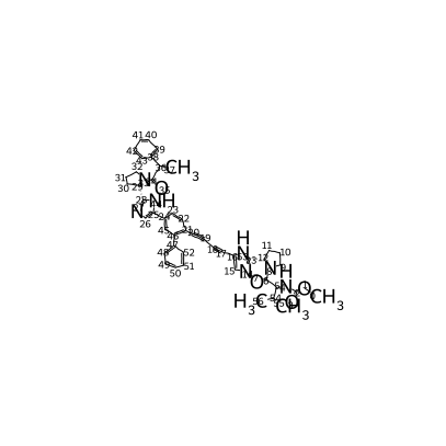 COC(=O)N[C@H](C(=O)N1CCC[C@H]1c1ncc(C#CC#Cc2ccc(-c3cnc([C@@H]4CCCN4C(=O)C(C)c4ccccc4)[nH]3)cc2-c2ccccc2)[nH]1)C(C)C